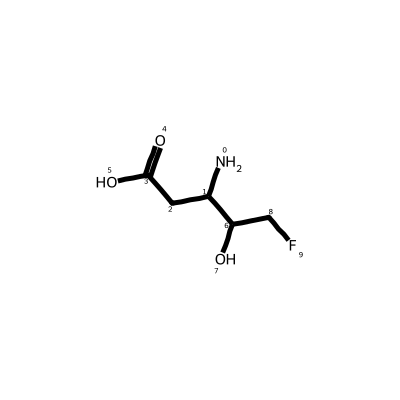 NC(CC(=O)O)C(O)CF